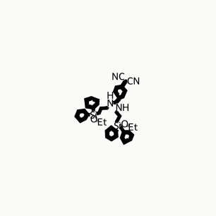 CCO[Si](CCCNC(NCCC[Si](OCC)(c1ccccc1)c1ccccc1)=c1ccc(=C(C#N)C#N)cc1)(c1ccccc1)c1ccccc1